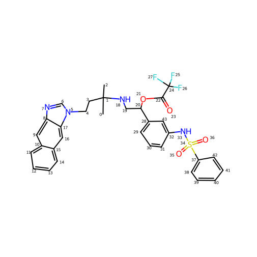 CC(C)(CCn1cnc2cc3ccccc3cc21)NCC(OC(=O)C(F)(F)F)c1cccc(NS(=O)(=O)c2ccccc2)c1